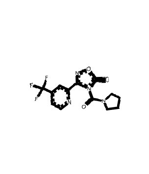 O=C(N1CCCC1)n1c(-c2cc(C(F)(F)F)ccn2)noc1=O